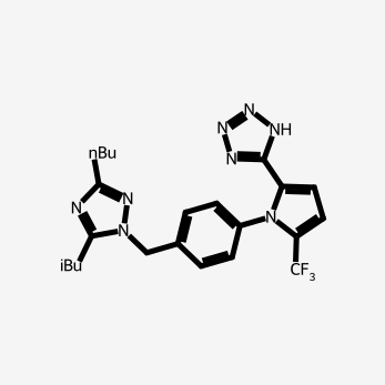 CCCCc1nc(C(C)CC)n(Cc2ccc(-n3c(-c4nnn[nH]4)ccc3C(F)(F)F)cc2)n1